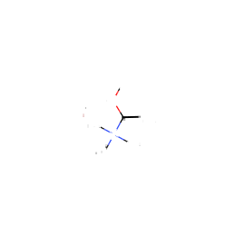 CCCC[N+](CCCC)(CCCC)C(C)OCC.[Br-]